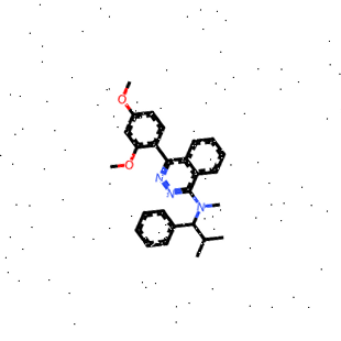 COc1ccc(-c2nnc(N(C)C(c3ccccc3)C(C)C)c3ccccc23)c(OC)c1